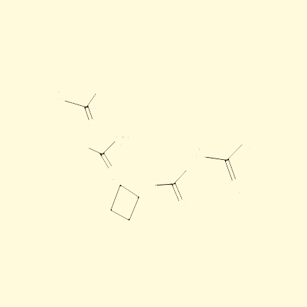 C1CCC1.O=C(O)O.O=C(O)O.O=C(O)O.O=C(O)O